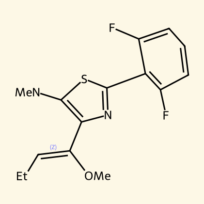 CC/C=C(\OC)c1nc(-c2c(F)cccc2F)sc1NC